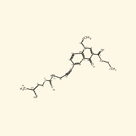 CCOC(=O)c1cn(CC)c2ccc(C#CCNC(=O)OCCC(C)F)cc2c1=O